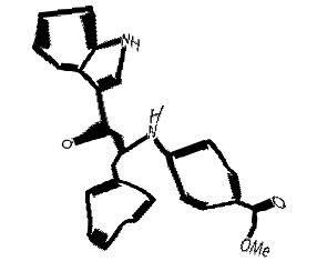 COC(=O)c1ccc(NC(C(=O)c2c[nH]c3ccccc23)c2ccccc2)cc1